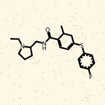 CCN1CCCC1CNC(=O)C1=CC=C(Sc2ccc(F)cc2)CC1C